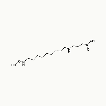 O=C(O)CCCNCCCCCCCCCNOO